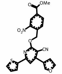 COC(=O)c1ccc(COc2nc(-c3cccs3)cc(-c3ccoc3)c2C#N)c([N+](=O)[O-])c1